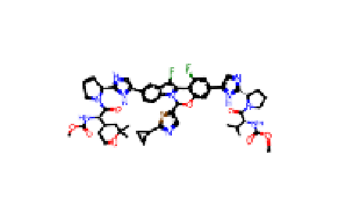 COC(=O)NC(C(=O)N1CCC[C@H]1c1ncc(-c2ccc3c(c2)c(F)c2n3C(c3cnc(C4CC4)s3)Oc3cc(-c4cnc([C@@H]5CCCN5C(=O)[C@@H](NC(=O)OC)C(C)C)[nH]4)cc(F)c3-2)[nH]1)C1CCOC(C)(C)C1